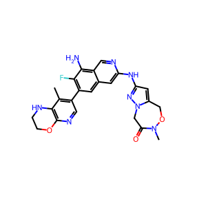 Cc1c(-c2cc3cc(Nc4cc5n(n4)CC(=O)N(C)OC5)ncc3c(N)c2F)cnc2c1NCCO2